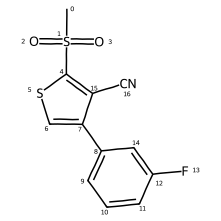 CS(=O)(=O)c1scc(-c2cccc(F)c2)c1C#N